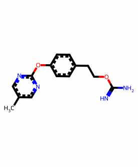 Cc1cnc(Oc2ccc(CCOC(=N)N)cc2)nc1